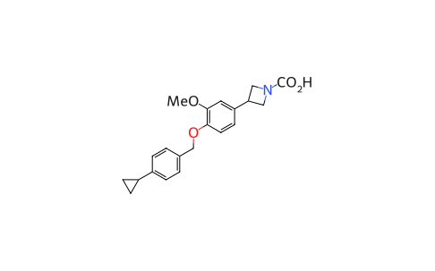 COc1cc(C2CN(C(=O)O)C2)ccc1OCc1ccc(C2CC2)cc1